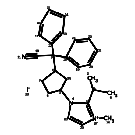 CC(C)c1n(C2CCC(C(C#N)(c3ccccc3)c3ccccc3)C2)cc[n+]1C.[I-]